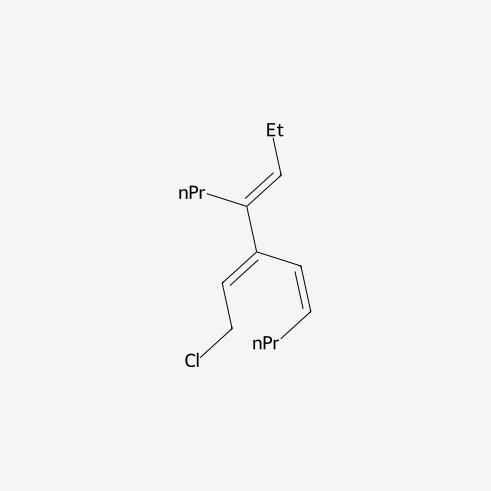 CC/C=C(CCC)/C(/C=C\CCC)=C/CCl